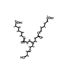 CCCCCCCCCCCCCCCOC(=O)CCN(CCOCCO)CCC(=O)OCCCCCCCCCCCCCCC